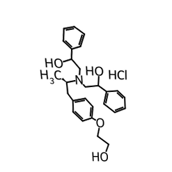 C[C@H](Cc1ccc(OCCO)cc1)N(CC(O)c1ccccc1)CC(O)c1ccccc1.Cl